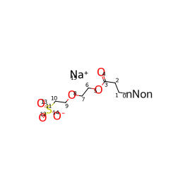 CCCCCCCCCCCC(=O)OCCOCCS(=O)(=O)[O-].[Na+]